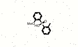 COc1ccccc1P(=O)(O)c1ccccc1C